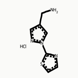 Cl.NCc1cnn(-c2nccs2)c1